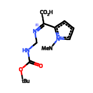 CNn1cccc1/C(=N\CNC(=O)OC(C)(C)C)C(=O)O